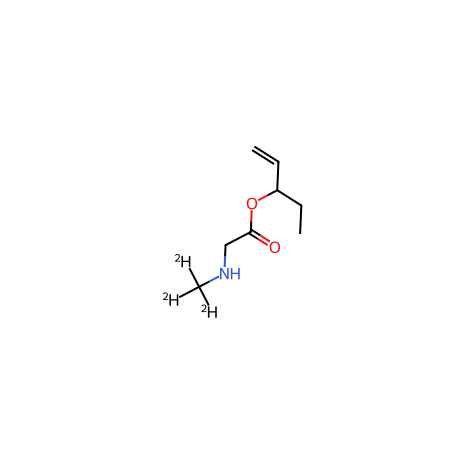 [2H]C([2H])([2H])NCC(=O)OC(C=C)CC